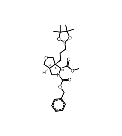 COC(=O)[C@H]1N(C(=O)OCc2ccccc2)C[C@H]2COC[C@@]21CCCB1OC(C)(C)C(C)(C)O1